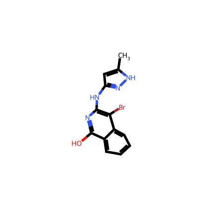 Cc1cc(Nc2nc(O)c3ccccc3c2Br)n[nH]1